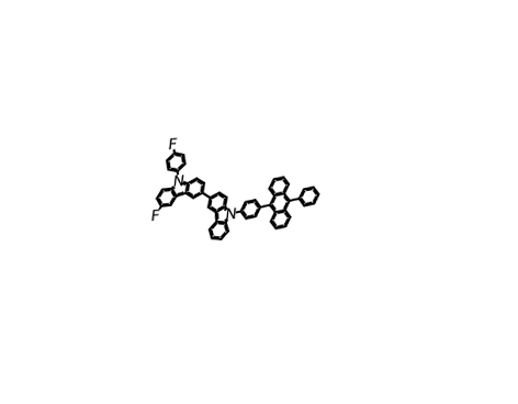 Fc1ccc(-n2c3ccc(F)cc3c3cc(-c4ccc5c(c4)c4ccccc4n5-c4ccc(-c5c6ccccc6c(-c6ccccc6)c6ccccc56)cc4)ccc32)cc1